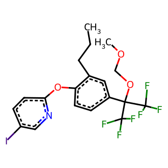 CCCc1cc(C(OCOC)(C(F)(F)F)C(F)(F)F)ccc1Oc1ccc(I)cn1